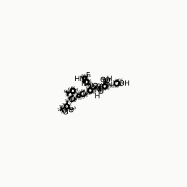 COc1cc(CN2CCN(C3CC4(CCN(c5ccc(C(=O)NS(=O)(=O)c6ccc(NC[C@H]7CC[C@](C)(O)CC7)c([N+](=O)[O-])c6)c(Oc6cnc7[nH]cc(F)c7c6)c5)CC4)C3)[C@H](c3ccccc3C(C)C)C2)cc2c1OCC2(C)C